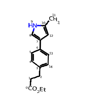 CCOC(=O)CCc1ccc(-c2c[nH]c(C)c2)cc1